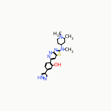 C[C@H]1C[C@@H](N(C)c2nc3nnc(-c4ccc(-c5cn[nH]c5)cc4O)cc3s2)CCN1C